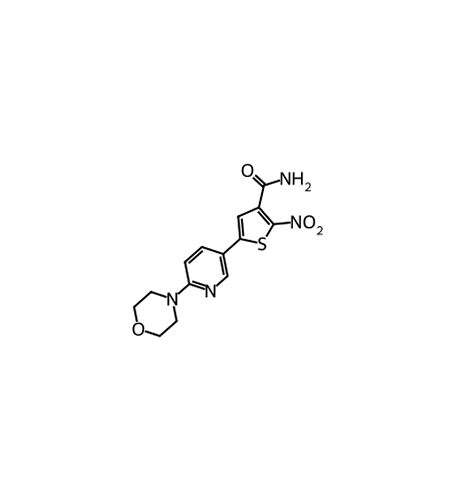 NC(=O)c1cc(-c2ccc(N3CCOCC3)nc2)sc1[N+](=O)[O-]